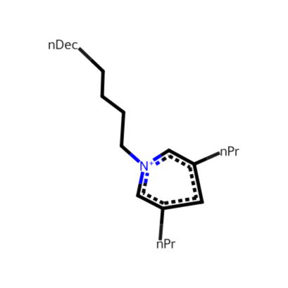 CCCCCCCCCCCCCC[n+]1cc(CCC)cc(CCC)c1